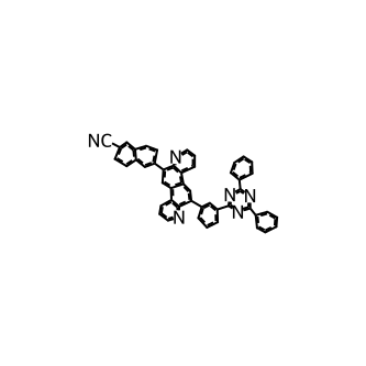 N#Cc1ccc2cc(-c3cc4c5cccnc5c(-c5cccc(-c6nc(-c7ccccc7)nc(-c7ccccc7)n6)c5)cc4c4cccnc34)ccc2c1